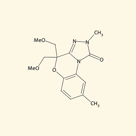 COCC1(COC)Oc2ccc(C)cc2-n2c1nn(C)c2=O